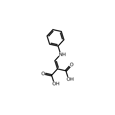 O=C(O)C(=CNc1ccccc1)C(=O)O